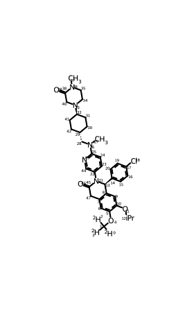 [2H]C([2H])([2H])Oc1cc2c(cc1OC(C)C)[C@H](c1ccc(Cl)cc1)N(c1ccc(N(C)C[C@H]3CC[C@H](N4CCN(C)C(=O)C4)CC3)nc1)C(=O)C2